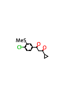 CSc1cc(C(=O)CC(=O)C2CC2)ccc1Cl